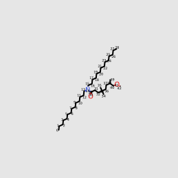 CCCCCCCCCCCCCCN(CCCCCCCCCCCCCC)C(=O)CCC(C)(C)CCC(C)COC